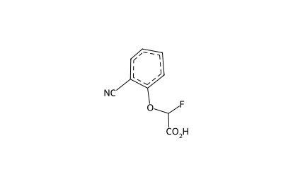 N#Cc1ccccc1OC(F)C(=O)O